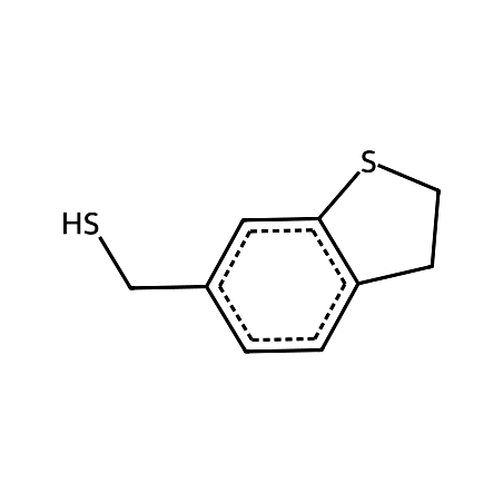 SCc1ccc2c(c1)SCC2